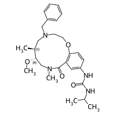 CO[C@H]1CN(C)C(=O)c2cc(NC(=O)NC(C)C)ccc2OCCN(Cc2ccccc2)C[C@@H]1C